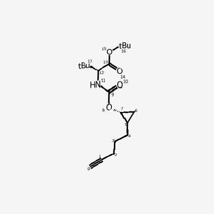 C#CCCCC1C[C@H]1OC(=O)N[C@H](C(=O)OC(C)(C)C)C(C)(C)C